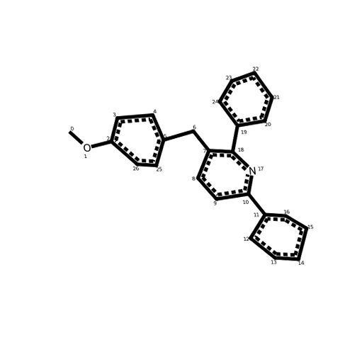 COc1ccc(Cc2ccc(-c3ccccc3)nc2-c2ccccc2)cc1